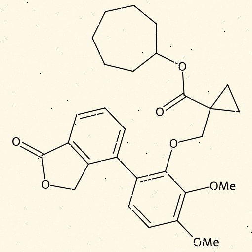 COc1ccc(-c2cccc3c2COC3=O)c(OCC2(C(=O)OC3CCCCCC3)CC2)c1OC